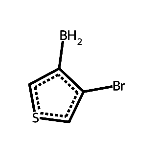 Bc1cscc1Br